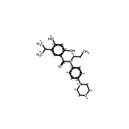 CCCN(C(=O)c1cc(C(C)C)c(O)cc1O)c1ccc(N2CCOCC2)cc1